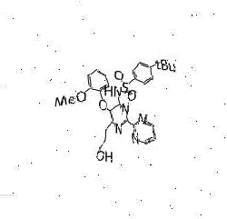 COc1ccccc1Oc1c(CCCO)nc(-c2ncccn2)nc1NS(=O)(=O)c1ccc(C(C)(C)C)cc1